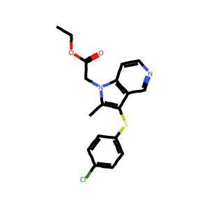 CCOC(=O)Cn1c(C)c(Sc2ccc(Cl)cc2)c2cnccc21